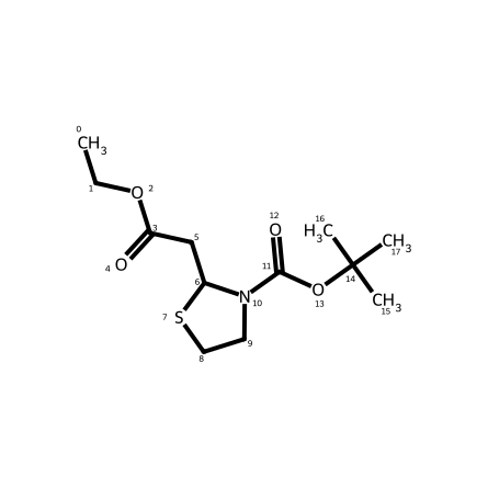 CCOC(=O)CC1SCCN1C(=O)OC(C)(C)C